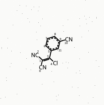 N#CC(C#N)=C(Cl)c1cccc(C#N)c1